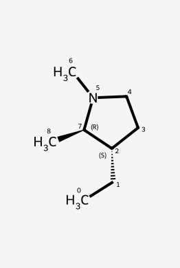 CC[C@H]1CCN(C)[C@@H]1C